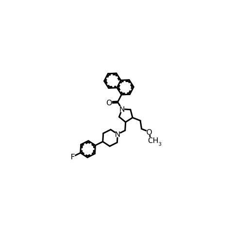 COCCC1CN(C(=O)c2cccc3ccccc23)CC1CN1CCC(c2ccc(F)cc2)CC1